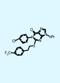 CCCn1cnc2c(=O)n(-c3ccc(Cl)cc3)c(SCCc3ccc(C(F)(F)F)cc3)nc21